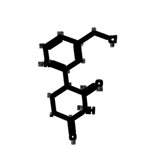 O=C1CCC(c2cc(CCl)ccn2)C(=O)N1